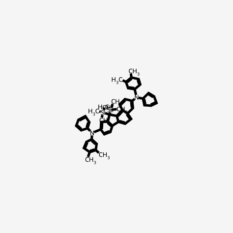 Cc1ccc(N(c2ccccc2)c2ccc3c(c2)C([Si](C)(C)C)([Si](C)(C)C)c2c-3ccc3cc(N(c4ccccc4)c4ccc(C)c(C)c4)ccc23)cc1C